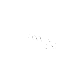 CC(=O)Nc1cccc(CN(CCN(C)C)c2cc(C)c3cc(N)ccc3n2)c1